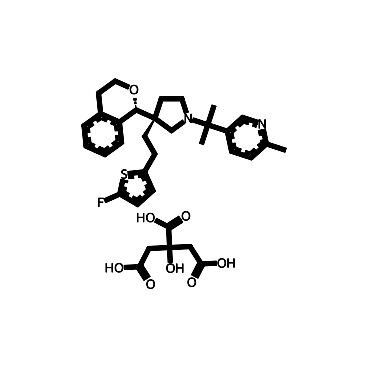 Cc1ccc(C(C)(C)N2CC[C@@](CCc3ccc(F)s3)([C@H]3OCCc4ccccc43)C2)cn1.O=C(O)CC(O)(CC(=O)O)C(=O)O